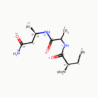 CN[C@H](CC(C)C)C(=O)NC(C)C(=O)N[C@@H](CC(N)=O)C(C)=O